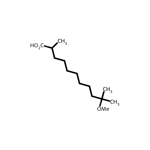 COC(C)(C)CCCCCCCC(C)C(=O)O